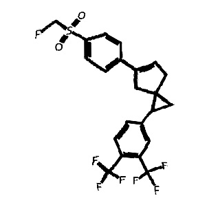 O=S(=O)(CF)c1ccc(C2=CCC3(C2)CC3c2ccc(C(F)(F)F)c(C(F)(F)F)c2)cc1